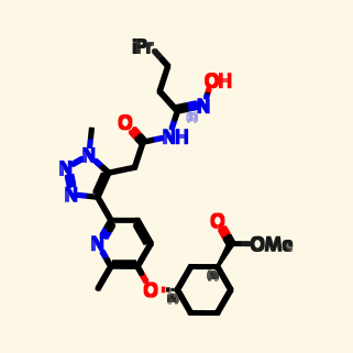 COC(=O)[C@H]1CCC[C@H](Oc2ccc(-c3nnn(C)c3CC(=O)N/C(CCC(C)C)=N/O)nc2C)C1